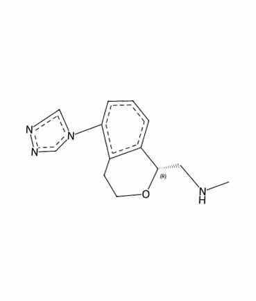 CNC[C@@H]1OCCc2c1cccc2-n1cnnc1